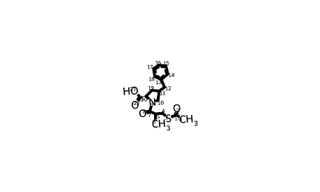 CC(=O)SCC(C)C(=O)N1CC(Cc2ccccc2)C[C@H]1C(=O)O